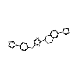 c1cn(-c2ccc(Cc3cnc(N4CCc5cc(-n6ccnc6)ccc5C4)s3)cc2)cn1